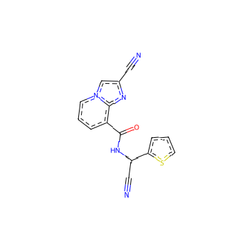 N#Cc1cn2cccc(C(=O)NC(C#N)c3cccs3)c2n1